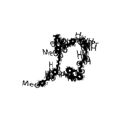 COc1ccc(C2=CN3C(=O)c4cc(OC)c(OCCCCCOc5cc6c(cc5OC)C(=O)N5CC7(CC7)C[C@H]5C(O)N6C(=O)OCc5ccc(NC(=O)[C@H](C)NC(=O)[C@@H](NC(=O)CNC(=O)CNC(=O)CCC(=O)N6Cc7ccccc7-c7c(nnn7C(C)C)-c7ccccc76)C(C)C)cc5)cc4NC[C@@H]3C2)cc1